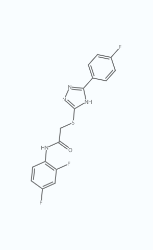 O=C(CSc1nnc(-c2ccc(F)cc2)[nH]1)Nc1ccc(F)cc1F